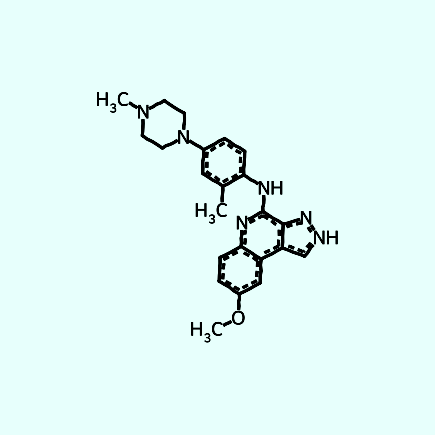 COc1ccc2nc(Nc3ccc(N4CCN(C)CC4)cc3C)c3n[nH]cc3c2c1